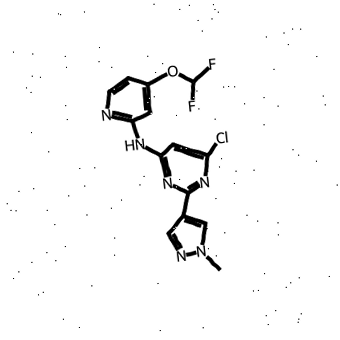 Cn1cc(-c2nc(Cl)cc(Nc3cc(OC(F)F)ccn3)n2)cn1